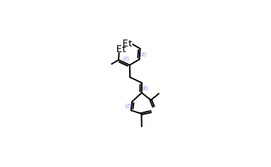 C=C(C)/C=C\C(=C/CC(/C=C\CC)=C(\C)CC)C(=C)C